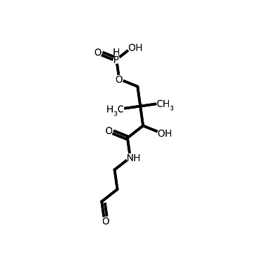 CC(C)(CO[PH](=O)O)C(O)C(=O)NCCC=O